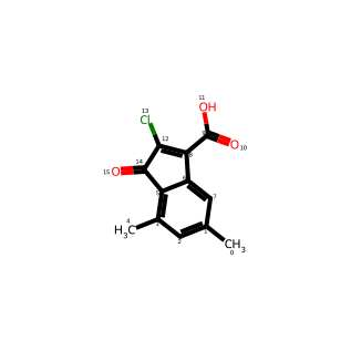 Cc1cc(C)c2c(c1)C(C(=O)O)=C(Cl)C2=O